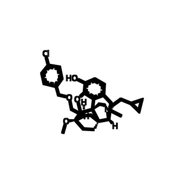 CO[C@]12CC[C@@]3(C[C@@H]1COCc1ccc(Cl)cc1)[C@H]1Cc4ccc(O)c5c4[C@@]3(CC[N+]1(C)CC1CC1)[C@H]2O5